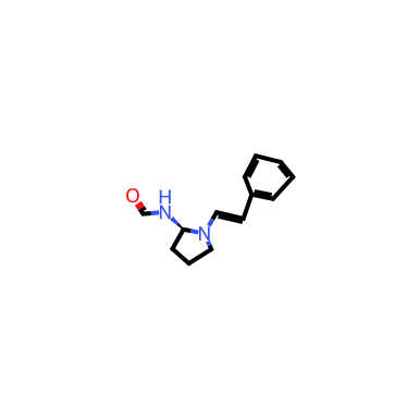 O=CN[C@@H]1CCCN1C=Cc1ccccc1